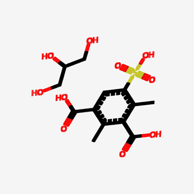 Cc1c(C(=O)O)cc(S(=O)(=O)O)c(C)c1C(=O)O.OCC(O)CO